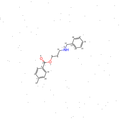 Cc1ccc(C(=O)OCCCNCc2ccccc2)cc1